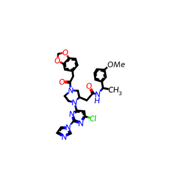 COc1cccc(C(C)NC(=O)CC2CN(C(=O)Cc3ccc4c(c3)OCO4)CCN2c2cc(Cl)nc(-n3ccnc3)n2)c1